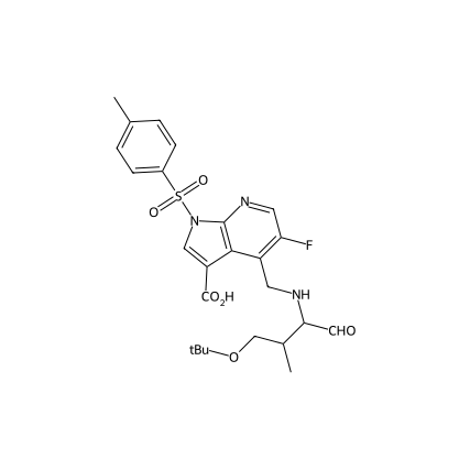 Cc1ccc(S(=O)(=O)n2cc(C(=O)O)c3c(CNC(C=O)C(C)COC(C)(C)C)c(F)cnc32)cc1